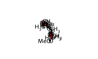 COC(=O)CCNC(=O)[C@@H]1OP(=O)(OCOC(=O)C(C)CCOC(=O)CCNC(=O)[C@@H]2O[P@](=O)(OC(C)OC(=O)C(C)(C)C)OCC2(C)C)OCC1(C)C